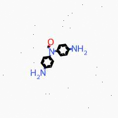 Nc1ccc(N(C=O)c2ccc(N)cc2)cc1